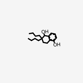 CCCCC1(CCCC)CCc2c(O)cccc2C1O